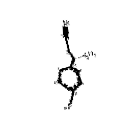 C[C@@H](CC#N)c1ccc(F)cc1